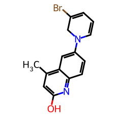 Cc1cc(O)nc2ccc(N3C=CC=C(Br)C3)cc12